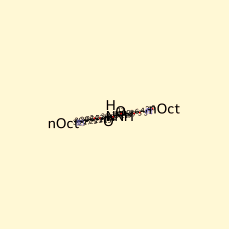 CCCCCCCC/C=C/CCCCCCCCCC(=O)NCCNC(=O)CCCCCCCCC/C=C/CCCCCCCC